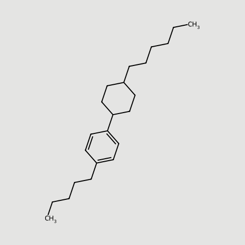 CCCCCCC1CCC(c2ccc(CCCCC)cc2)CC1